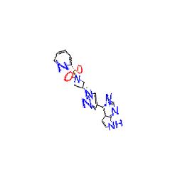 O=S(=O)(c1ccccn1)N1C[C](n2cc(-c3ncnc4[nH]ccc34)cn2)C1